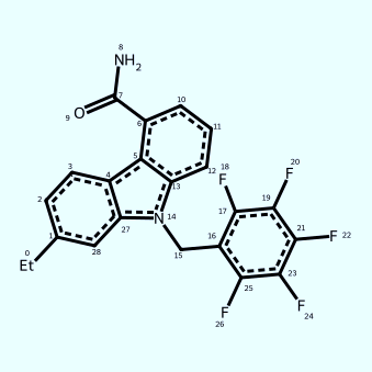 CCc1c[c]c2c3c(C(N)=O)cccc3n(Cc3c(F)c(F)c(F)c(F)c3F)c2c1